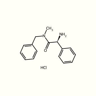 CN(Cc1ccccc1)C(=O)[C@@H](N)c1ccccc1.Cl